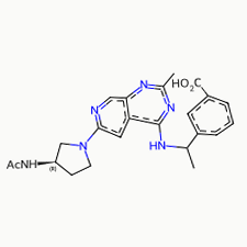 CC(=O)N[C@@H]1CCN(c2cc3c(NC(C)c4cccc(C(=O)O)c4)nc(C)nc3cn2)C1